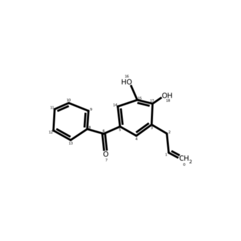 C=CCc1cc(C(=O)c2ccccc2)cc(O)c1O